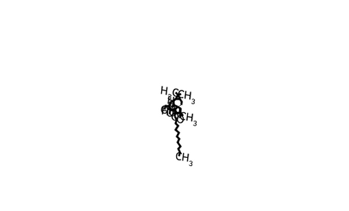 CCCCCCCCCCCC(=O)O[C@H]1C(C)=C[C@@]23CCC4C([C@H](C=C(CO)[C@@H](O)[C@]12O)C3=O)C4(C)C